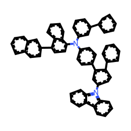 c1ccc(-c2cccc(N(c3ccc(-c4cc(-n5c6ccccc6c6ccccc65)ccc4-c4ccccc4)cc3)c3ccc(-c4ccc5ccccc5c4)c4ccccc34)c2)cc1